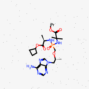 CC(C)OC(=O)C(C)(C)NP(=O)(CO[C@H](C)Cn1cnc2c(N)ncnc21)N[C@H](C)C(=O)OC1CCC1